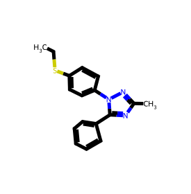 CCSc1ccc(-n2nc(C)nc2-c2ccccc2)cc1